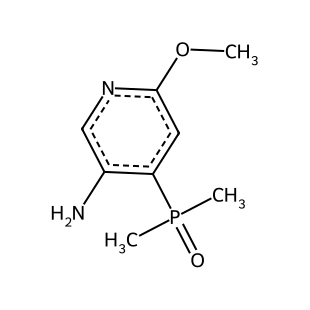 COc1cc(P(C)(C)=O)c(N)cn1